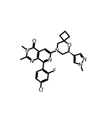 Cc1nc2c(-c3ccc(Cl)cc3F)nc(N3C[C@H](c4cnn(C)c4)OC4(CCC4)C3)cc2c(=O)n1C